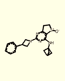 [O-][S+]1CCc2nc(N3CC(c4ccccc4)C3)nc(NC34CC(C3)C4)c21